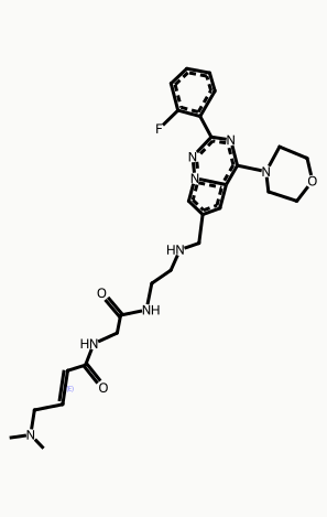 CN(C)C/C=C/C(=O)NCC(=O)NCCNCc1cc2c(N3CCOCC3)nc(-c3ccccc3F)nn2c1